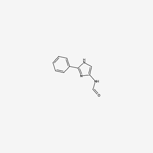 O=CNc1c[nH]c(-c2ccccc2)n1